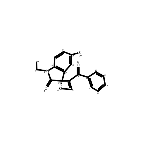 CCN1C(=O)[C@@]2(OC=C2C(=O)c2ccccc2)c2cc(Br)ccc21